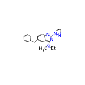 CCN(C)c1nc(-n2cccn2)nc2ccc(Cc3ccccc3)cc12